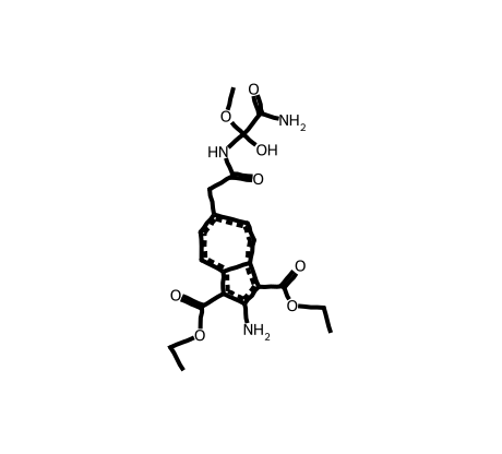 CCOC(=O)c1c2ccc(CC(=O)NC(O)(OC)C(N)=O)ccc-2c(C(=O)OCC)c1N